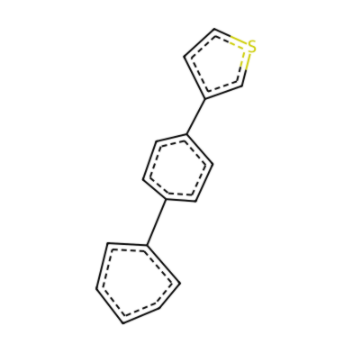 c1ccc(-c2ccc(-c3ccsc3)cc2)cc1